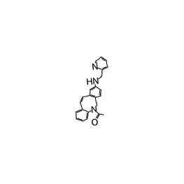 CC(=O)N1Cc2ccc(NCc3ccccn3)cc2/C=C\c2ccccc21